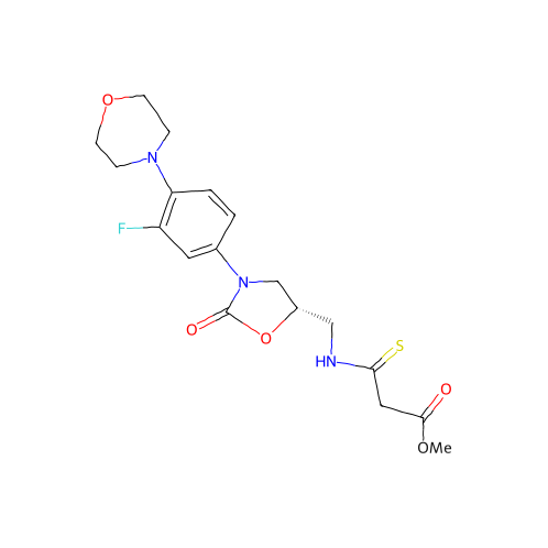 COC(=O)CC(=S)NC[C@H]1CN(c2ccc(N3CCOCC3)c(F)c2)C(=O)O1